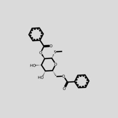 CS[C@@H]1O[C@H](COC(=O)c2ccccc2)[C@H](O)[C@H](O)[C@H]1OC(=O)c1ccccc1